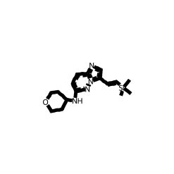 C[Si](C)(C)C=Cc1cnc2ccc(NC3CCOCC3)nn12